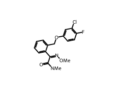 CNC(=O)C(=NOC)c1ccccc1COc1ccc(F)c(Cl)c1